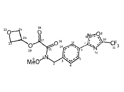 CON(Cc1ccc(-c2noc(C(F)(F)F)n2)cc1)C(=O)C(=O)OC1COC1